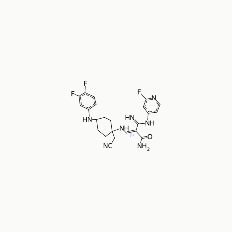 N#CCC1(N/C=C(\C(=N)Nc2ccnc(F)c2)C(N)=O)CCC(Nc2ccc(F)c(F)c2)CC1